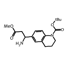 COC(=O)CC(N)c1ccc2c(c1)CCCN2C(=O)OC(C)(C)C